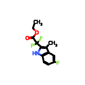 CCOC(=O)C(F)(F)c1[nH]c2ccc(F)cc2c1C